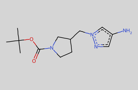 CC(C)(C)OC(=O)N1CCC(Cn2cc(N)cn2)C1